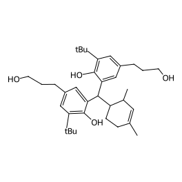 CC1=CC(C)C(C(c2cc(CCCO)cc(C(C)(C)C)c2O)c2cc(CCCO)cc(C(C)(C)C)c2O)CC1